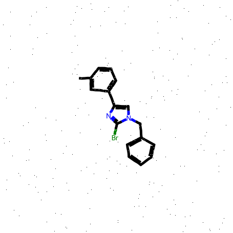 Cc1cccc(-c2cn(Cc3ccccc3)c(Br)n2)c1